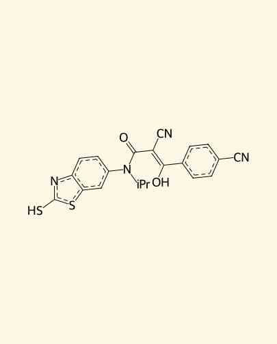 CC(C)N(C(=O)C(C#N)=C(O)c1ccc(C#N)cc1)c1ccc2nc(S)sc2c1